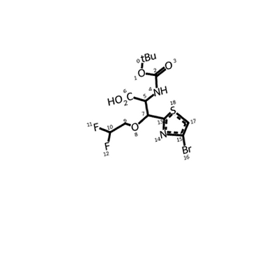 CC(C)(C)OC(=O)NC(C(=O)O)C(OCC(F)F)c1nc(Br)cs1